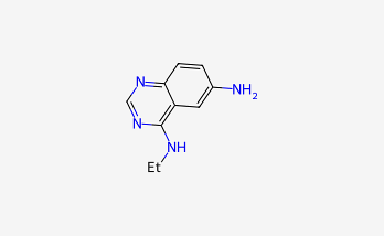 CCNc1ncnc2ccc(N)cc12